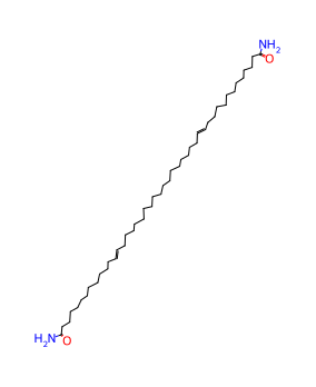 NC(=O)CCCCCCCCCCCC=CCCCCCCCCCCCCCCCCCC=CCCCCCCCCCCCC(N)=O